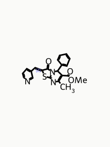 COC(=O)C1=C(C)N=c2s/c(=C\c3cccnc3)c(=O)n2C1c1ccccc1